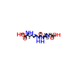 N[C@H](CCCCNC(=O)NC1CN(CC(=O)O)C1)C(=O)O